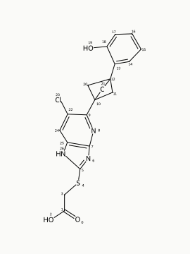 O=C(O)CSc1nc2nc(C34CC(c5ccccc5O)(C3)C4)c(Cl)cc2[nH]1